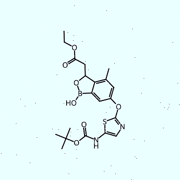 CCOC(=O)CC1OB(O)c2cc(Oc3ncc(NC(=O)OC(C)(C)C)s3)cc(C)c21